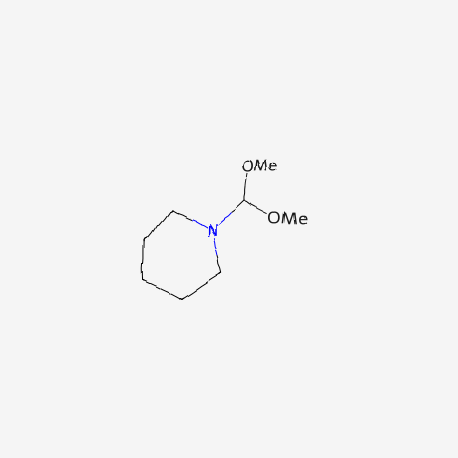 COC(OC)N1CCCCC1